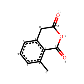 Cc1cccc2c1C(=O)OC(=O)C2